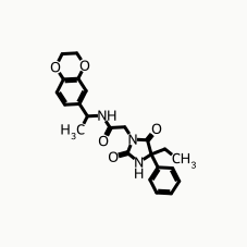 CCC1(c2ccccc2)NC(=O)N(CC(=O)NC(C)c2ccc3c(c2)OCCO3)C1=O